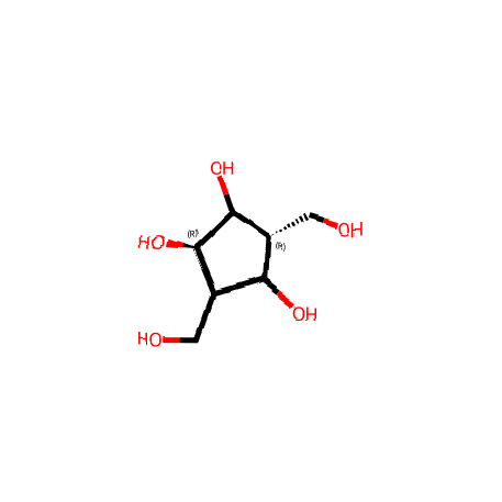 OCC1C(O)[C@@H](CO)C(O)[C@@H]1O